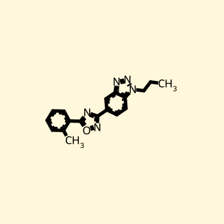 CCCn1nnc2cc(-c3noc(-c4ccccc4C)n3)ccc21